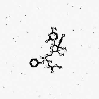 CC(C)OC(=O)[C@H](C)NP(=O)(OC[C@H]1O[C@@H](n2ccc(N)nc2=O)C(N)(C#CCl)[C@H]1O)Oc1ccccc1